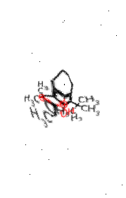 CCC(=O)Oc1c2c(C(C)(C)C)c(O)c(C(C)(C)C)c1CCCC2